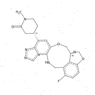 CN1CC[C@H](c2cc3c(n4cnnc24)NCc2c(F)ccc4c2[C@H](CO4)CO3)CC1=O